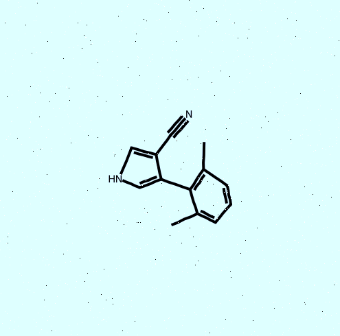 Cc1cccc(C)c1-c1c[nH]cc1C#N